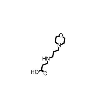 O=C(O)CCNCCCN1CCOCC1